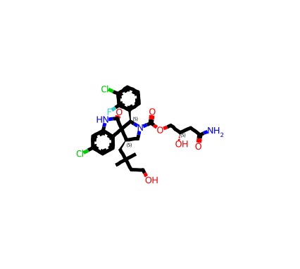 CC(C)(CCO)C[C@@H]1CN(C(=O)OC[C@@H](O)CC(N)=O)[C@H](c2cccc(Cl)c2F)C12C(=O)Nc1cc(Cl)ccc12